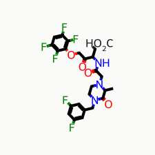 CC1C(=O)N(Cc2cc(F)cc(F)c2)CCN1CC(=O)NC(CC(=O)O)C(=O)COc1c(F)c(F)cc(F)c1F